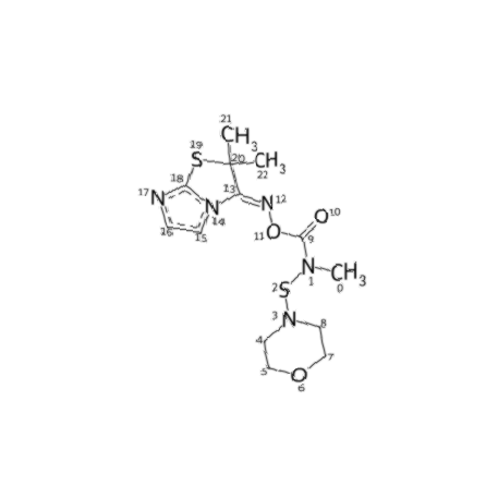 CN(SN1CCOCC1)C(=O)ON=C1n2ccnc2SC1(C)C